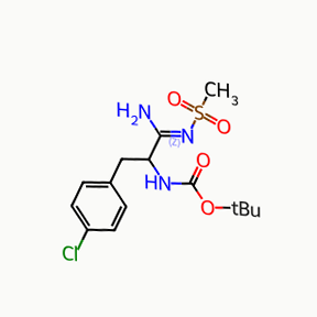 CC(C)(C)OC(=O)NC(Cc1ccc(Cl)cc1)/C(N)=N/S(C)(=O)=O